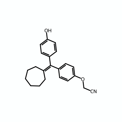 N#CCOc1ccc(C(=C2CCCCCC2)c2ccc(O)cc2)cc1